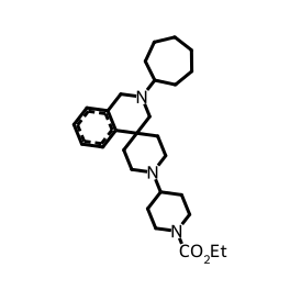 CCOC(=O)N1CCC(N2CCC3(CC2)CN(C2CCCCCC2)Cc2ccccc23)CC1